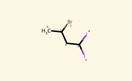 CC(Br)CC(I)I